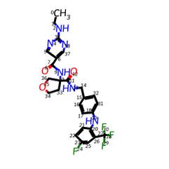 CCNc1ncc(C(=O)N[C@@]2(C(=O)NCc3ccc(Nc4ccc(F)cc4C(F)(F)F)cc3)CCOC2)cn1